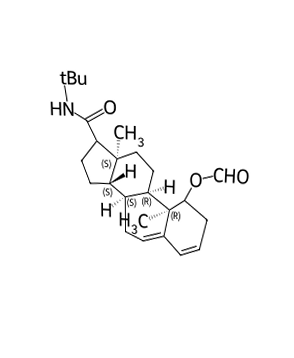 CC(C)(C)NC(=O)C1CC[C@H]2[C@@H]3CC=C4C=CCC(OC=O)[C@]4(C)[C@@H]3CC[C@]12C